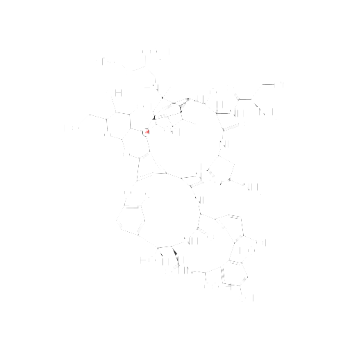 CCCCCCCCCCOC(CNC1(C)CC(OC2C(Oc3c4cc5cc3Oc3ccc(cc3Cl)[C@@H](O)[C@@H]3NC(=O)C(NC(=O)C5NC(=O)C(CC(N)=O)NC(=O)[C@@H](NC(=O)[C@H](N)CC(C)C)C(O)c5ccc(c(Cl)c5)O4)c4ccc(O)c(c4)-c4c(O)cc(O)cc4C(C(=O)O)NC3=O)OC(CO)C(O)C2O)OC(C)C1O)C(=O)O